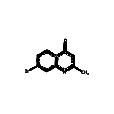 Cc1cc(=O)n2ccc(Br)cc2n1